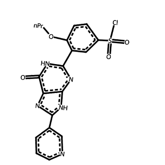 CCCOc1ccc(S(=O)(=O)Cl)cc1-c1nc2[nH]c(-c3cccnc3)nc2c(=O)[nH]1